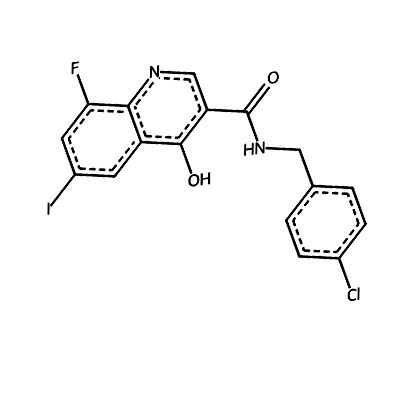 O=C(NCc1ccc(Cl)cc1)c1cnc2c(F)cc(I)cc2c1O